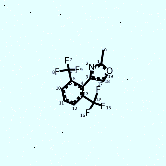 Cc1nc(-c2c(C(F)(F)F)cccc2C(F)(F)F)co1